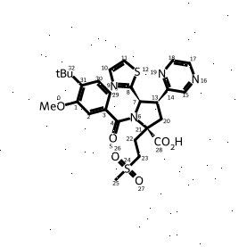 COc1cc(C(=O)N2[C@@H](c3nccs3)[C@@H](c3cnccn3)C[C@@]2(CCS(C)(=O)=O)C(=O)O)ccc1C(C)(C)C